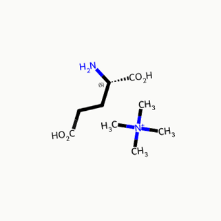 C[N+](C)(C)C.N[C@@H](CCC(=O)O)C(=O)O